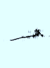 CN[C@@H](CO)C(=O)N[C@@H](CO)C(=O)N[C@@H](CCCCN(CC(=O)O)CC(=O)O)C(=O)N[C@@H](CO)C(=O)N[C@@H](CO)C(=O)N[C@@H](CCCCNC(=O)COCCOCCNC(=O)CCCCCCCCCCCCCCCCC(=O)O)C(N)=O